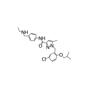 CCNCc1ccc(NC(=O)c2cc(C)n(Cc3cc(Cl)ccc3OCC(C)C)n2)cc1